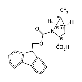 O=C(O)[C@H]1C[C@H]2[C@H]([C@@H]2C(F)(F)F)N1C(=O)OCC1c2ccccc2-c2ccccc21